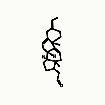 CC=C1CC[C@@]2(C)C(=CC[C@@H]3C2=CC[C@]2(C)[C@@H](CC=O)CC[C@@H]32)C1